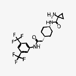 NC1(C(=O)N[C@H]2CC[C@@H](CC(=O)Nc3cc(C(F)(F)F)cc(C(F)(F)F)c3)CC2)CC1